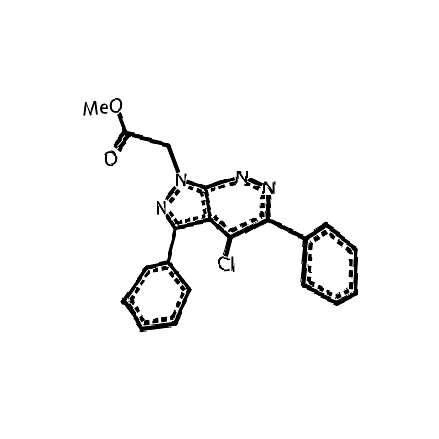 COC(=O)Cn1nc(-c2ccccc2)c2c(Cl)c(-c3ccccc3)nnc21